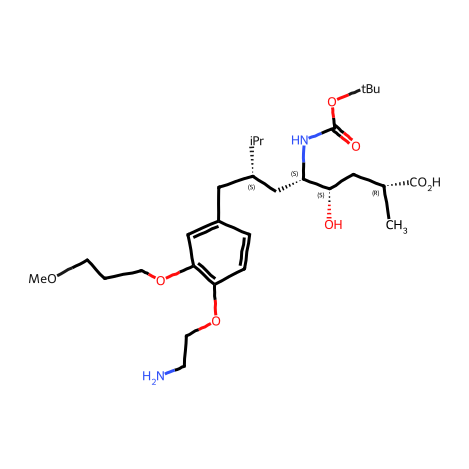 COCCCOc1cc(C[C@@H](C[C@H](NC(=O)OC(C)(C)C)[C@@H](O)C[C@@H](C)C(=O)O)C(C)C)ccc1OCCN